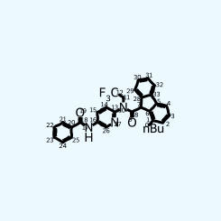 CCCCc1cccc2c1C(C(=O)N(CC(F)(F)F)c1ccc(NC(=O)c3ccccc3)cn1)c1ccccc1-2